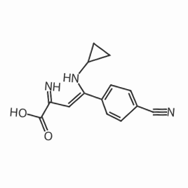 N#Cc1ccc(/C(=C/C(=N)C(=O)O)NC2CC2)cc1